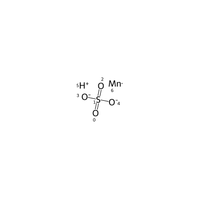 O=S(=O)([O-])[O-].[H+].[Mn]